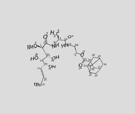 CO[C@@H](C(=O)N[C@@H](C)C(=O)NCCOC(=O)C12CC3CC(CC(C3)C1)C2)[C@H](O)[C@@H](O)[C@H](O)/C=C/C(C)(C)C